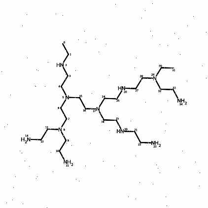 CCNCCN(CCN(CCN)CCN)CCN(CCNCCN)CCNCCN(CC)CCN